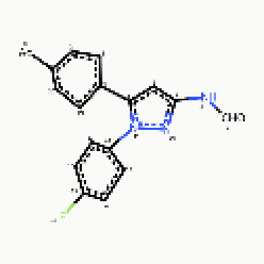 CC(=O)c1ccc(-c2cc(NC=O)nn2-c2ccc(F)cc2)cc1